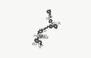 CC(C)(C)[Si](C)(C)O[C@@H](CNCc1ccc(NC(=O)CCCc2ccc(-c3ccccc3)c(N(C(=O)O)[C@H]3CC[C@H](NC(=O)OCc4ccccc4)CC3)c2)cc1)c1ccc(O)c2[nH]c(=O)ccc12